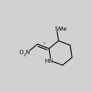 CSC1CCCN/C1=C\[N+](=O)[O-]